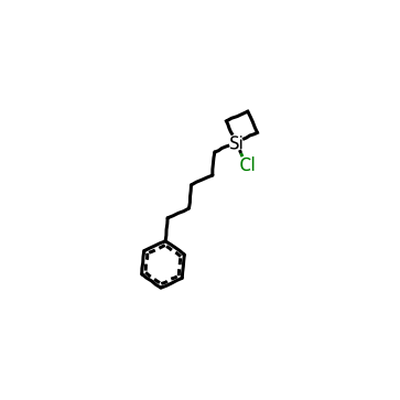 Cl[Si]1(CCCCCc2ccccc2)CCC1